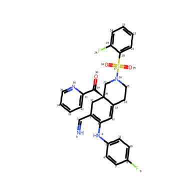 N=CC1=C(Nc2ccc(F)cc2)C=C2CCN(S(=O)(=O)c3ccccc3F)C[C@@]2(C(=O)c2ccccn2)C1